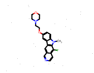 Cn1c2ccc(OCCN3CCOCC3)cc2c2cc3cnccc3c(F)c21